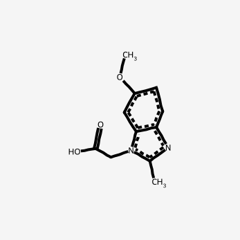 COc1ccc2nc(C)n(CC(=O)O)c2c1